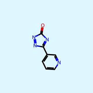 O=C1N=NC(c2cccnc2)=N1